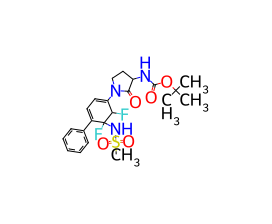 CC(C)(C)OC(=O)NC1CCN(C2=CC=C(c3ccccc3)C(F)(NS(C)(=O)=O)C2F)C1=O